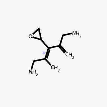 C=C(CN)/C(=C(\C)CN)C1CO1